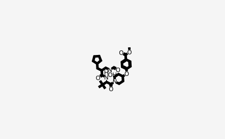 COC(=O)c1ccc(OC2CCN(C(=O)[C@@H](NC(=O)C(CC3CCCC3)CN(O)C=O)C(C)(C)C)CC2)cc1